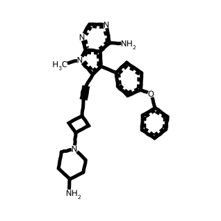 Cn1c(C#CC2CC(N3CCC(N)CC3)C2)c(-c2ccc(Oc3ccccc3)cc2)c2c(N)ncnc21